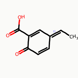 C/C=C1\C=CC(=O)C(C(=O)O)=C1